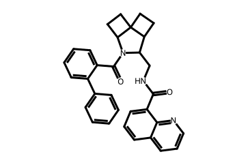 O=C(NCC1C2CCC23CCC3N1C(=O)c1ccccc1-c1ccccc1)c1cccc2cccnc12